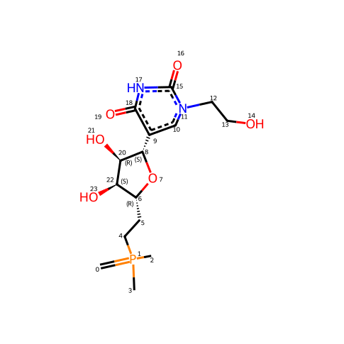 C=P(C)(C)CC[C@H]1O[C@@H](c2cn(CCO)c(=O)[nH]c2=O)[C@H](O)[C@@H]1O